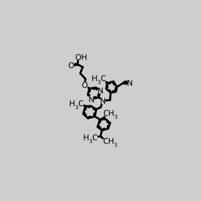 Cc1cc(C#N)cc(CN(Cc2cc(C)ccc2-c2cc(C(C)C)ccc2C)c2ncc(OCCCC(=O)O)cn2)c1